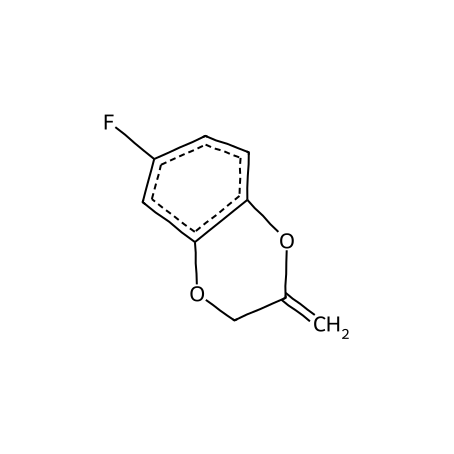 C=C1COc2cc(F)ccc2O1